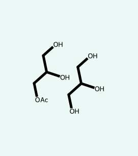 CC(=O)OCC(O)CO.OCC(O)CO